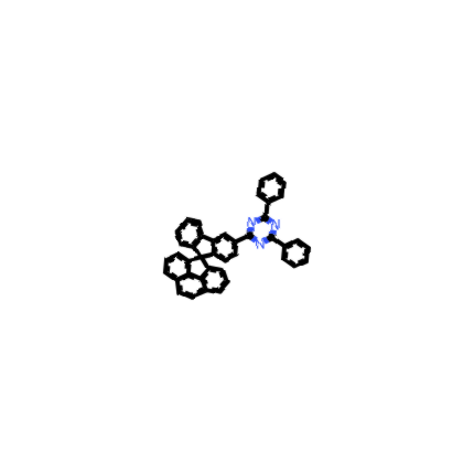 c1ccc(-c2nc(-c3ccccc3)nc(-c3ccc4c(c3)-c3ccccc3C43c4cccc5ccc6cccc3c6c45)n2)cc1